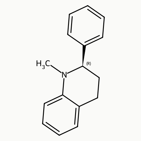 CN1c2ccccc2CC[C@@H]1c1ccccc1